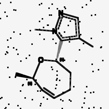 Cc1cnn(C)c1[C@@H]1CCC=C[C@@H](C)O1